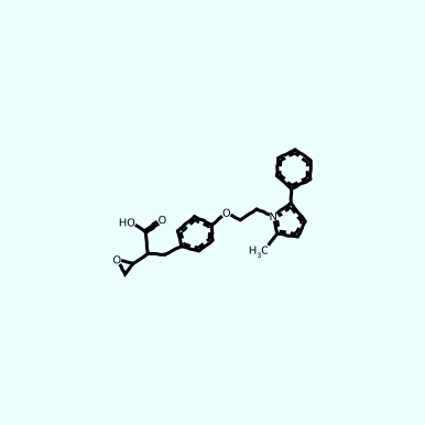 Cc1ccc(-c2ccccc2)n1CCOc1ccc(CC(C(=O)O)C2CO2)cc1